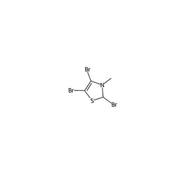 CN1C(Br)=C(Br)SC1Br